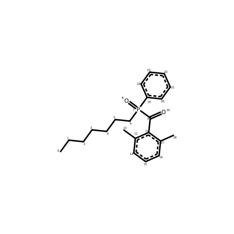 CCCCCCCP(=O)(C(=O)c1c(C)cccc1C)c1ccccc1